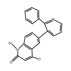 CCn1c(=O)cc(Cl)c2cc(-c3cccnc3-c3ccccc3)ccc21